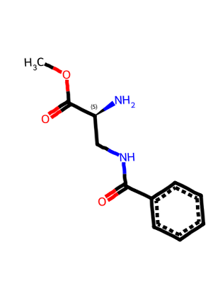 COC(=O)[C@@H](N)CNC(=O)c1ccccc1